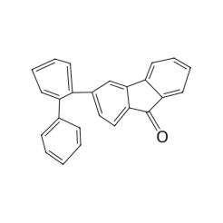 O=C1c2ccccc2-c2cc(-c3ccccc3-c3ccccc3)ccc21